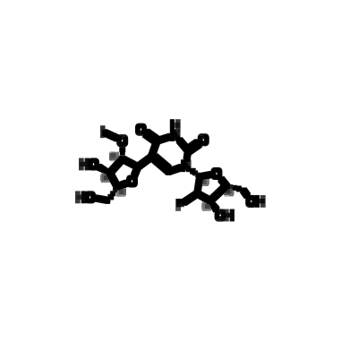 O=c1[nH]c(=O)n([C@@H]2O[C@H](CO)[C@@H](O)C2F)cc1C1O[C@H](CO)[C@@H](O)[C@@H]1OI